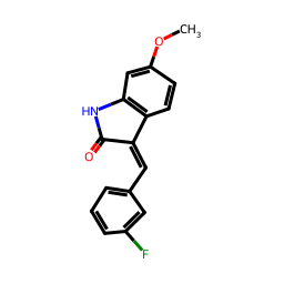 COc1ccc2c(c1)NC(=O)C2=Cc1cccc(F)c1